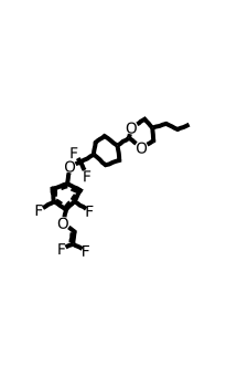 CCCC1COC(C2CCC(C(F)(F)Oc3cc(F)c(OC=C(F)F)c(F)c3)CC2)OC1